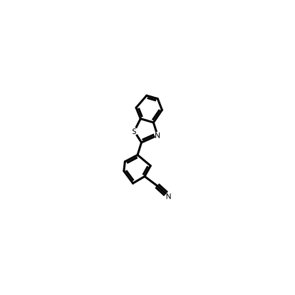 N#Cc1cccc(-c2nc3ccccc3s2)c1